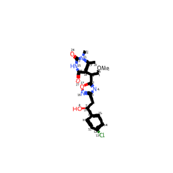 COCC(c1nc(C[C@H](O)c2ccc(Cl)cc2)no1)c1c(C)n(C)c(=O)[nH]c1=O